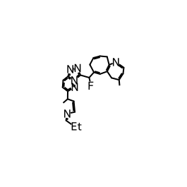 CC/C=N\C=C/C(C)c1ccc2nnc(C(F)/C3=C/C4=C(CC=CC3)N=CC=C(C)C4)n2n1